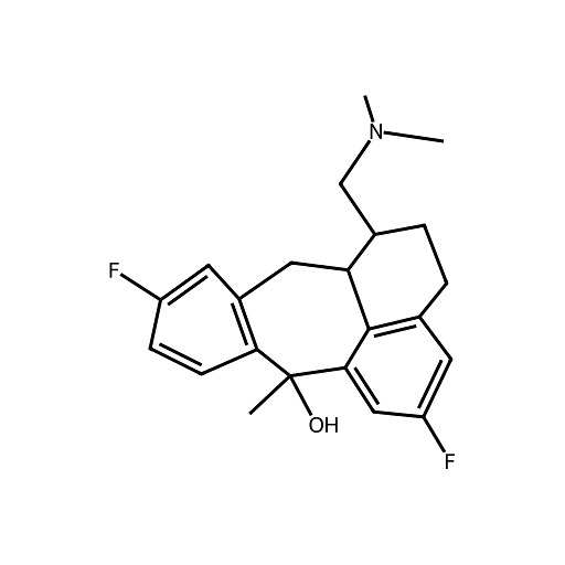 CN(C)CC1CCc2cc(F)cc3c2C1Cc1cc(F)ccc1C3(C)O